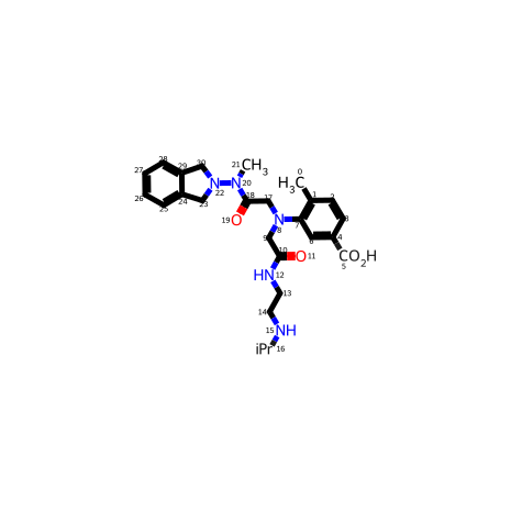 Cc1ccc(C(=O)O)cc1N(CC(=O)NCCNC(C)C)CC(=O)N(C)N1Cc2ccccc2C1